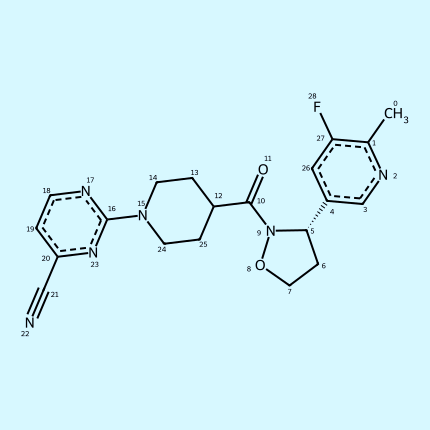 Cc1ncc([C@@H]2CCON2C(=O)C2CCN(c3nccc(C#N)n3)CC2)cc1F